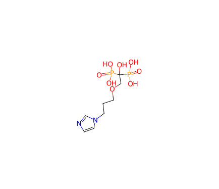 O=P(O)(O)C(O)(COCCCn1ccnc1)P(=O)(O)O